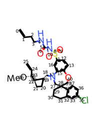 C=CCCNC(=O)NS(=O)(=O)c1ccc2c(c1)N(C[C@@H]1CC[C@H]1[C@@H](C=C)OC)C[C@@]1(CCCc3cc(Cl)ccc31)CO2